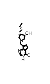 CCSC[C@H]1CN(CC2=CCc3c2nc[nH]c3=O)C[C@@H]1O